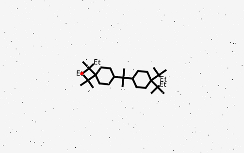 CCC(C)(C)C1(C(C)(C)CC)CCC(C(C)(C)C2CCC(C(C)(C)CC)(C(C)(C)CC)CC2)CC1